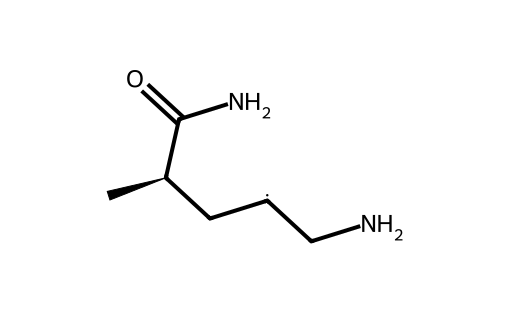 C[C@H](C[CH]CN)C(N)=O